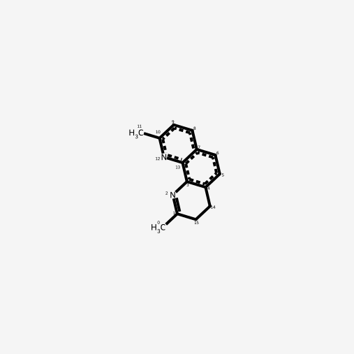 CC1=Nc2c(ccc3ccc(C)nc23)CC1